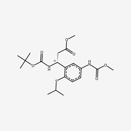 COC(=O)C[C@@H](NC(=O)OC(C)(C)C)c1cc(NC(=O)OC)ccc1SC(C)C